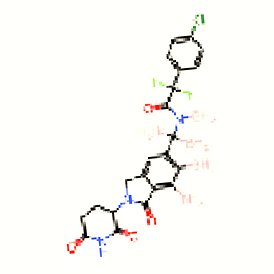 Bc1c(C(B)(B)N(B)C(=O)C(F)(F)c2ccc(Cl)cc2)cc2c(c1B)C(=O)N(C1CCC(=O)NC1=O)C2